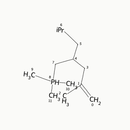 C=C(C)CC(CC(C)C)C[PH](C)(C)C